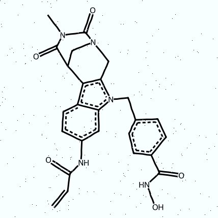 C=CC(=O)Nc1ccc2c3c(n(Cc4ccc(C(=O)NO)cc4)c2c1)CN1CC3C(=O)N(C)C1=O